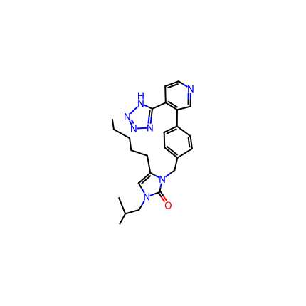 CCCCCc1cn(CC(C)C)c(=O)n1Cc1ccc(-c2cnccc2-c2nnn[nH]2)cc1